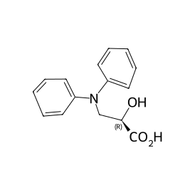 O=C(O)[C@H](O)CN(c1ccccc1)c1ccccc1